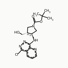 CC(C)(C)OC(=O)N1C[C@@H](CO)[C@H](Nc2nnc(Cl)c3cccnc23)C1